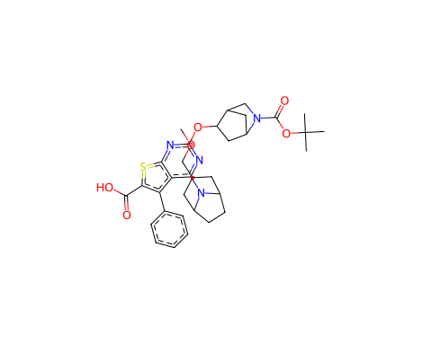 COCC1CC2CCC(C1)N2c1nc(OC2CC3CC2CN3C(=O)OC(C)(C)C)nc2sc(C(=O)O)c(-c3ccccc3)c12